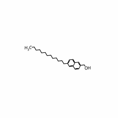 CCCCCCCCCCCCCc1ccc2cc(CO)ccc2c1